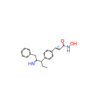 CCC(C(=N)Cc1ccccc1)c1ccc(/C=C/C(=O)NO)cc1